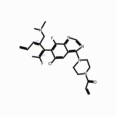 C=C/C=C(CN(C)C)\C(=C(/C)F)c1c(Cl)cc2c(N3CCN(C(=O)C=C)CC3)ncnc2c1F